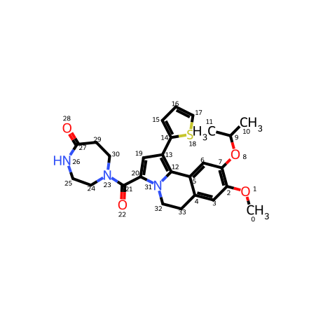 COc1cc2c(cc1OC(C)C)-c1c(-c3cccs3)cc(C(=O)N3CCNC(=O)CC3)n1CC2